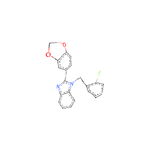 Fc1ccccc1Cn1c(-c2ccc3c(c2)OCO3)nc2ccccc21